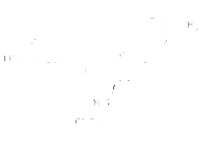 CC(S)CCCC(O)/C=C/[C@H]1CCCC(=O)N1C/C=C\CCCC(=O)O